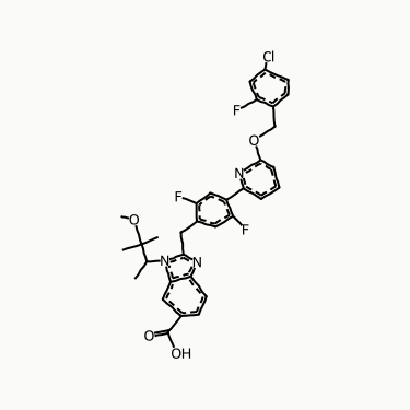 COC(C)(C)C(C)n1c(Cc2cc(F)c(-c3cccc(OCc4ccc(Cl)cc4F)n3)cc2F)nc2ccc(C(=O)O)cc21